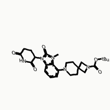 Cn1c(=O)n(C2CCC(=O)NC2=O)c2cccc(N3CCC4(CC3)CN(C(=O)OC(C)(C)C)C4)c21